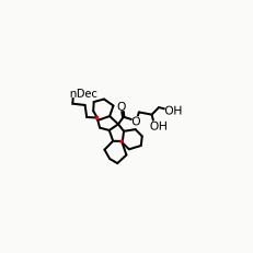 CCCCCCCCCCCCCCCC(C1CCCCC1)C(C(=O)OCC(O)CO)(C1CCCCC1)C1CCCCC1